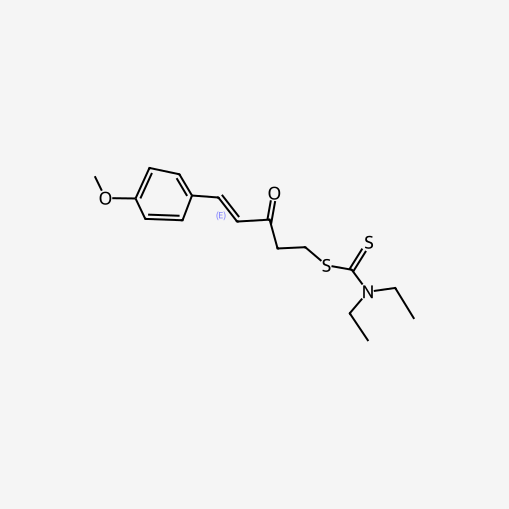 CCN(CC)C(=S)SCCC(=O)/C=C/c1ccc(OC)cc1